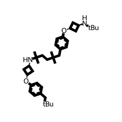 CC(C)(C)Cc1ccc(O[C@H]2C[C@@H](NC(C)(C)CCC(C)(C)Cc3ccc(O[C@H]4C[C@H](NC(C)(C)C)C4)cc3)C2)cc1